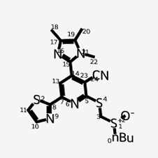 CCCC[S+]([O-])CSc1nc(-c2nccs2)cc(-c2nc(C)c(C)n2C)c1C#N